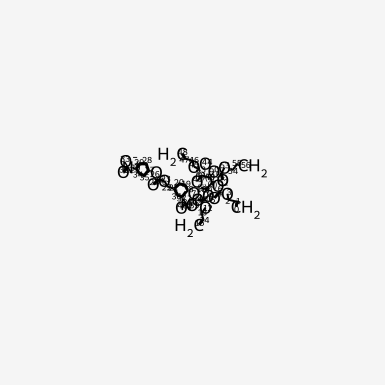 C=CCOC(=O)O[C@@H]1[C@@H](OC(=O)OCC=C)[C@H](Oc2ccc(COC(=O)Oc3ccc([N+](=O)[O-])cc3)cc2[N+](=O)[O-])O[C@H](C(=O)OCC=C)[C@H]1OC(=O)OCC=C